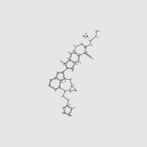 Cn1c(-c2cc3cccc(OCCn4cnnc4)c3n2CC2CC2)nc2cc3c(nc21)CCN(C[C@H](N)CF)C3=O